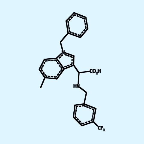 Cc1ccc2c(c1)c(C(NCc1cccc(C(F)(F)F)c1)C(=O)O)cn2Cc1ccccc1